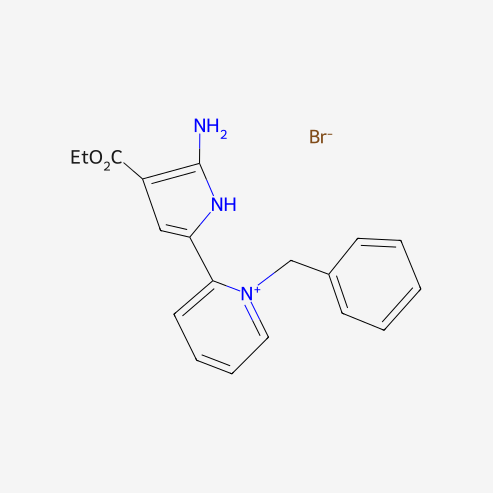 CCOC(=O)c1cc(-c2cccc[n+]2Cc2ccccc2)[nH]c1N.[Br-]